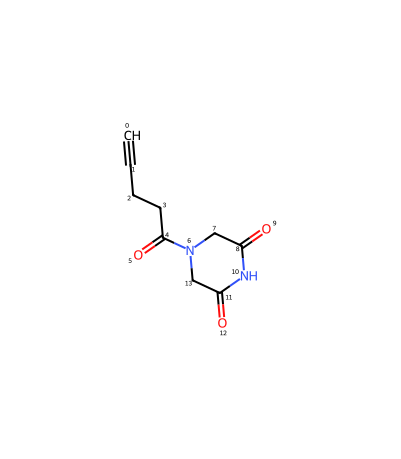 C#CCCC(=O)N1CC(=O)NC(=O)C1